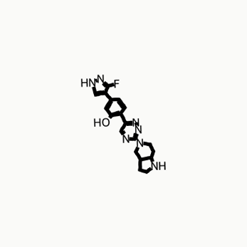 Oc1cc(-c2c[nH]nc2F)ccc1-c1cnc(N2CCC3NCCC3C2)nn1